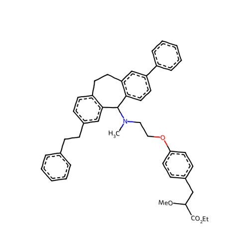 CCOC(=O)C(Cc1ccc(OCCN(C)C2c3ccc(-c4ccccc4)cc3CCc3ccc(CCc4ccccc4)cc32)cc1)OC